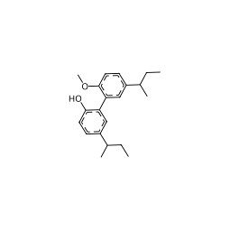 CCC(C)c1ccc(O)c(-c2cc(C(C)CC)ccc2OC)c1